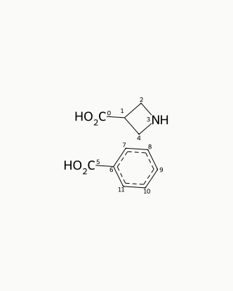 O=C(O)C1CNC1.O=C(O)c1ccccc1